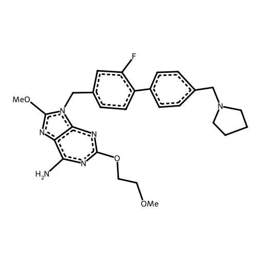 COCCOc1nc(N)c2nc(OC)n(Cc3ccc(-c4ccc(CN5CCCC5)cc4)c(F)c3)c2n1